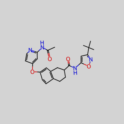 CC(=O)Nc1cc(Oc2ccc3c(c2)CC(C(=O)Nc2cc(C(C)(C)C)no2)CC3)ccn1